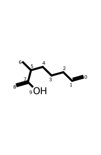 C=CCCCC(C)C(=C)O